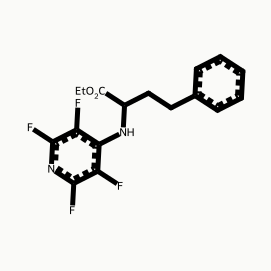 CCOC(=O)C(CCc1ccccc1)Nc1c(F)c(F)nc(F)c1F